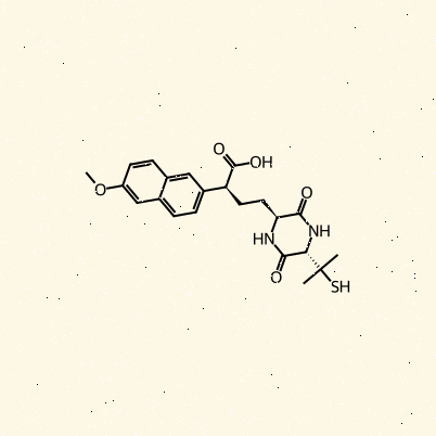 COc1ccc2cc([C@H](CC[C@@H]3NC(=O)[C@@H](C(C)(C)S)NC3=O)C(=O)O)ccc2c1